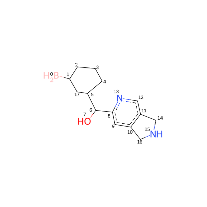 BC1CCCC(C(O)c2cc3c(cn2)CNC3)C1